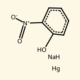 O=[N+]([O-])c1ccccc1O.[Hg].[NaH]